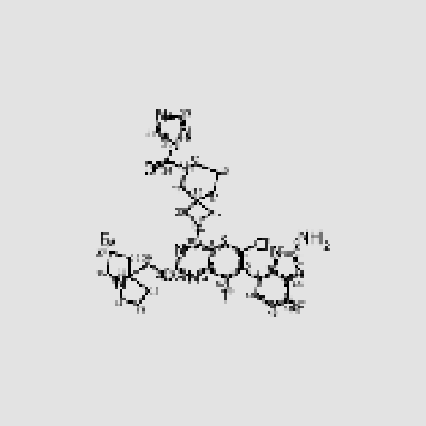 Nc1nc2c(-c3c(Cl)cc4c(N5CC6(CCCN(C(=O)n7cncn7)C6)C5)nc(OC[C@@]56CCCN5C[C@H](F)C6)nc4c3F)ccc(F)c2s1